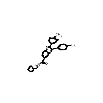 Cc1ccc(-c2nc3ccc(C(=O)NCc4ccccc4)cc3nc2-c2ccc(C)cc2)cc1